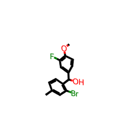 COc1ccc(C(O)c2ccc(C)cc2Br)cc1F